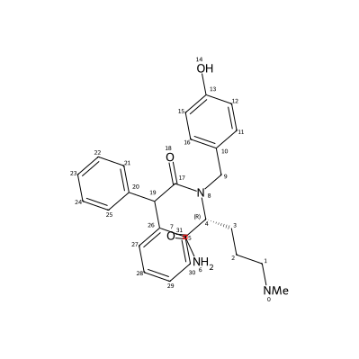 CNCCC[C@H](C(N)=O)N(Cc1ccc(O)cc1)C(=O)C(c1ccccc1)c1ccccc1